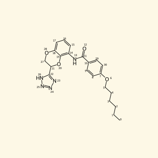 CCCCCCOc1ccc(C(=O)Nc2cccc3c2OC(c2nnn[nH]2)CO3)cc1